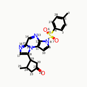 Cc1ccc(S(=O)(=O)n2ccc3c2ncc2ncc(C4CC(=O)CC4C)n23)cc1